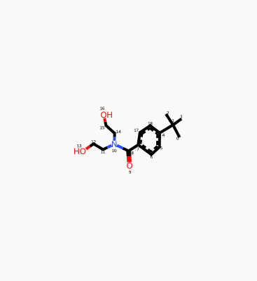 CC(C)(C)c1ccc(C(=O)N(CCO)CCO)cc1